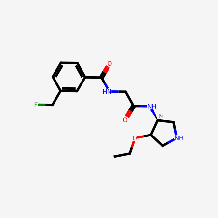 CCOC1CNC[C@@H]1NC(=O)CNC(=O)c1cccc(CF)c1